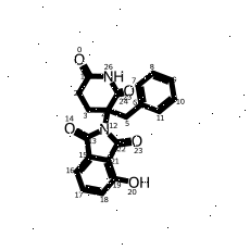 O=C1CCC(Cc2ccccc2)(N2C(=O)c3cccc(O)c3C2=O)C(=O)N1